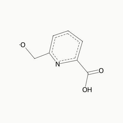 [O]Cc1cccc(C(=O)O)n1